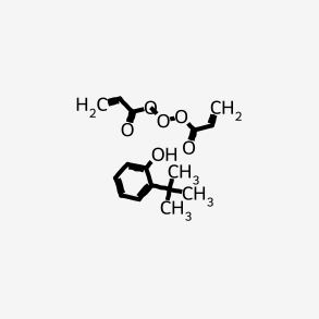 C=CC(=O)OOOC(=O)C=C.CC(C)(C)c1ccccc1O